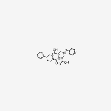 O=C(O)[C@H]1C[C@H](Oc2ccncc2)CN(C(=O)O)[C@@H]1C(=O)N1CC=C(c2ccccc2)CC1